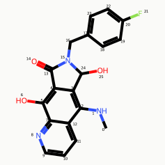 CNc1c2c(c(O)c3ncccc13)C(=O)N(Cc1ccc(F)cc1)C2O